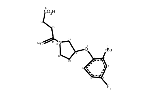 CC(C)(C)c1cc(F)ccc1OC1CCN(C(=O)CCC(=O)O)C1